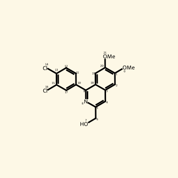 COc1cc2cc(CO)nc(-c3ccc(Cl)c(Cl)c3)c2cc1OC